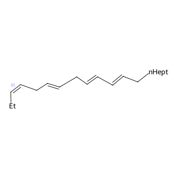 CC/C=C\CC=CCC=CC=CCCCCCCCC